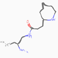 NC(CNC(=O)CC1CCCCN1)C(=O)O